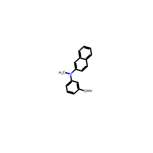 COc1cccc(N(C)c2ccc3ccccc3c2)c1